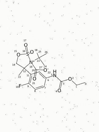 CCOC(=O)Nc1ccc(F)c(C2(C)COS(=O)(=O)[N+]2(C(=O)[O-])C(C)(C)C)c1